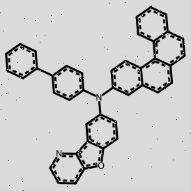 c1ccc(-c2ccc(N(c3ccc4c(ccc5ccc6ccccc6c54)c3)c3ccc4oc5cccnc5c4c3)cc2)cc1